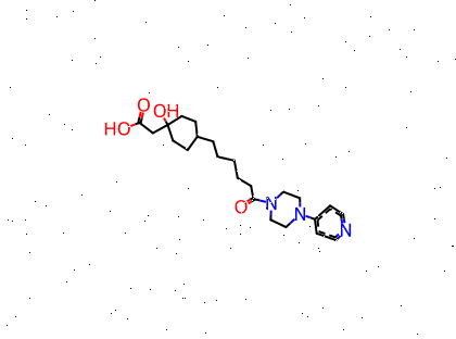 O=C(O)CC1(O)CCC(CCCCCC(=O)N2CCN(c3ccncc3)CC2)CC1